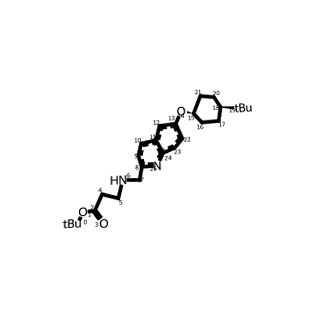 CC(C)(C)OC(=O)CCNCc1ccc2cc(O[C@H]3CC[C@H](C(C)(C)C)CC3)ccc2n1